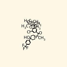 CC(C(=O)c1cc(Cl)c(O[Si](C(C)C)(C(C)C)C(C)C)c(Cl)c1)N1CCC(O)(c2ccc(C(F)(F)F)cc2)CC1